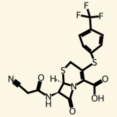 N#CCC(=O)N[C@@H]1C(=O)N2C(C(=O)O)=C(Sc3ccc(C(F)(F)F)cc3)CS[C@H]12